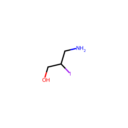 NCC(I)CO